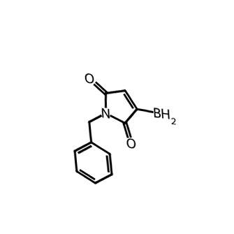 BC1=CC(=O)N(Cc2ccccc2)C1=O